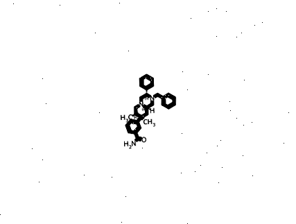 C[C@H]1CN2C[C@H](c3ccccc3)N(Cc3ccccc3)C[C@H]2CC1(C)c1cccc(C(N)=O)c1